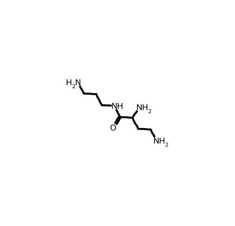 NCCCNC(=O)C(N)CCN